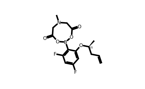 C=CC[C@H](C)Oc1cc(F)cc(F)c1B1OC(=O)CN(C)CC(=O)O1